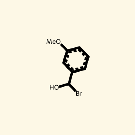 COc1cccc(C(O)Br)c1